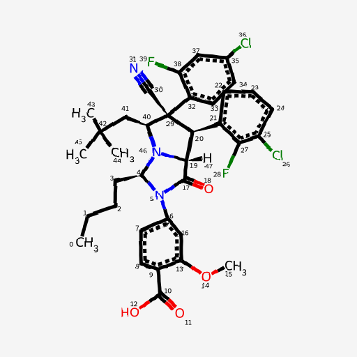 CCCC[C@@H]1N(c2ccc(C(=O)O)c(OC)c2)C(=O)[C@H]2[C@H](c3cccc(Cl)c3F)[C@@](C#N)(c3ccc(Cl)cc3F)[C@H](CC(C)(C)C)N12